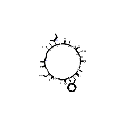 C/C=C(\C)[C@H]1OC(=O)[C@@H](C)NC(=O)[C@H](C(C)CC)NC(=O)CN(C)C(=O)[C@@H](Cc2ccccc2)N(C)C(=O)[C@H](C)NC(=O)[C@@H](CC(C)C)OC(=O)/C(C)=C/C[C@H](O)[C@H]1C